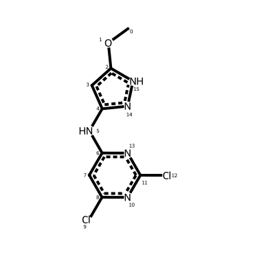 COc1cc(Nc2cc(Cl)nc(Cl)n2)n[nH]1